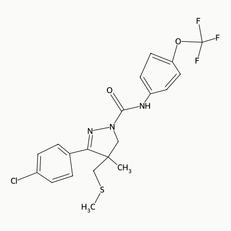 CSCC1(C)CN(C(=O)Nc2ccc(OC(F)(F)F)cc2)N=C1c1ccc(Cl)cc1